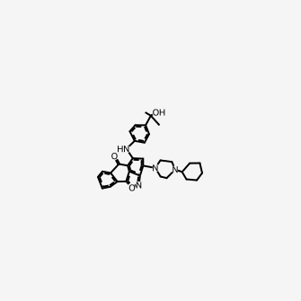 CC(C)(O)c1ccc(Nc2cc(N3CCN(C4CCCCC4)CC3)c3noc4c3c2C(=O)c2ccccc2-4)cc1